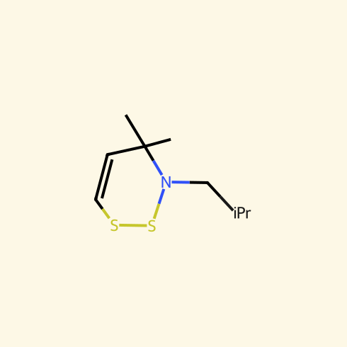 CC(C)CN1SSC=CC1(C)C